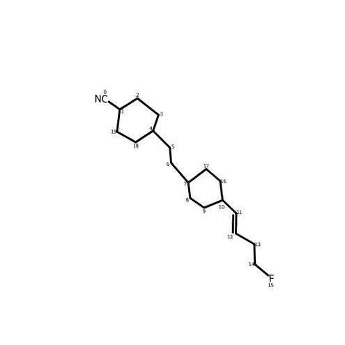 N#CC1CCC(CCC2CCC(C=CCCF)CC2)CC1